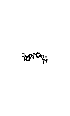 FC(F)(F)COc1ccc(Cn2cc3c(Cl)nccc3n2)cn1